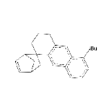 CCC(C)c1cccc2cc3c(cc12)CCCC31CC2C=CC1C2